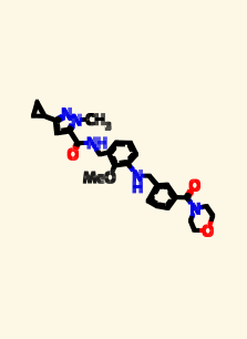 COc1c(CNC(=O)c2cc(C3CC3)nn2C)cccc1NCc1cccc(C(=O)N2CCOCC2)c1